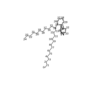 CCCCCCCCCCCCCCC(CCCCCCCCCC)c1ccccc1-n1ccnc1